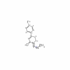 O=C1C=C(c2ccc(F)cc2)CCN1/P=N\P